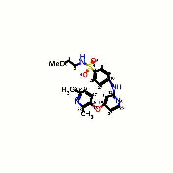 COCCNS(=O)(=O)c1ccc(Nc2cc(Oc3ccc(C)nc3C)ccn2)cc1